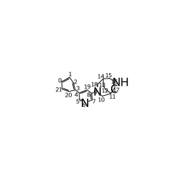 c1ccc(-c2cncc(N3CC4CCC(CNC4)C3)c2)cc1